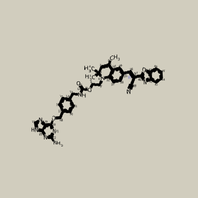 CC1=CC(C)(C)N(CCOC(=O)NCc2ccc(COc3nc(N)nc4[nH]cnc34)cc2)c2ccc(/C=C(\C#N)c3nc4ccccc4o3)cc21